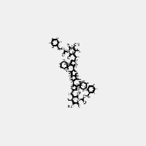 CC1=C(C#N)C(=O)N(C(=O)OCc2ccccc2)C(=O)/C1=C\c1cc2c(s1)-c1sc3c4c(sc3c1OC21CCCCC1)-c1sc(/C=C2\C(=O)N(C(=O)OCc3ccccc3)C(=O)C(C#N)=C2C)cc1C1(CCCCC1)O4